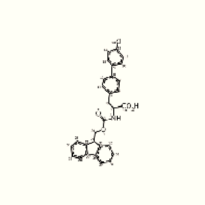 O=C(N[C@@H](Cc1ccc(-c2ccc(Cl)cc2)cc1)C(=O)O)OCC1c2ccccc2-c2ccccc21